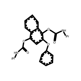 CC(C)NC(=O)Oc1cc(Oc2ccccc2)c(OC(=O)NC(C)C)c2ccccc12